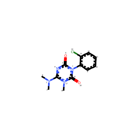 CN(C)c1nc(=O)n(-c2ccccc2Cl)c(=O)n1C